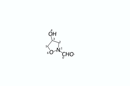 O=[C]N1CC(O)CO1